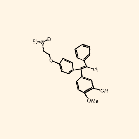 CCN(CC)CCOc1ccc(/C(=C(/Cl)c2ccccc2)c2ccc(OC)c(O)c2)cc1